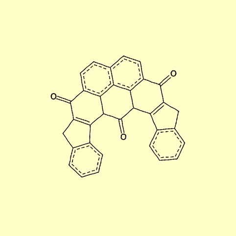 O=C1C2=C(c3ccccc3C2)C2C(=O)C3C4=C(Cc5ccccc54)C(=O)c4ccc5ccc1c2c5c43